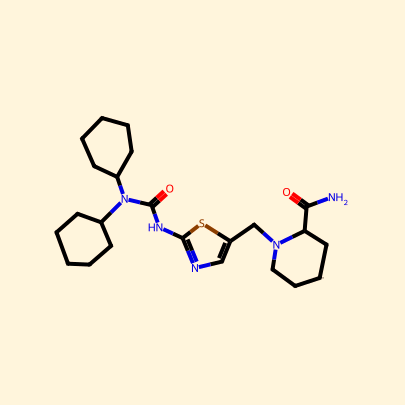 NC(=O)C1C[CH]CCN1Cc1cnc(NC(=O)N(C2CCCCC2)C2CCCCC2)s1